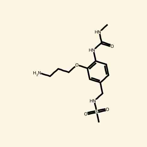 CNC(=O)Nc1ccc(CNS(C)(=O)=O)cc1OCCCN